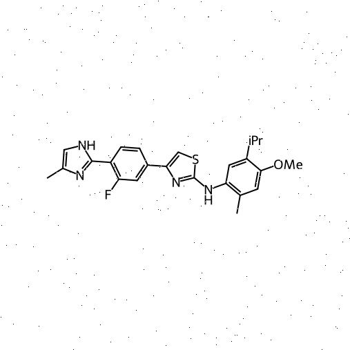 COc1cc(C)c(Nc2nc(-c3ccc(-c4nc(C)c[nH]4)c(F)c3)cs2)cc1C(C)C